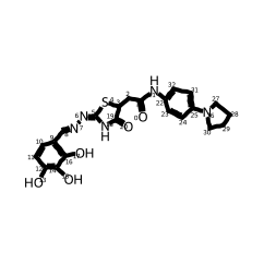 O=C(CC1S/C(=N/N=C/c2ccc(O)c(O)c2O)NC1=O)Nc1ccc(N2CCCC2)cc1